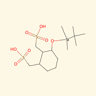 CC(C)(C)[Si](C)(C)OC1CCCC(CS(=O)(=O)O)C1CS(=O)(=O)O